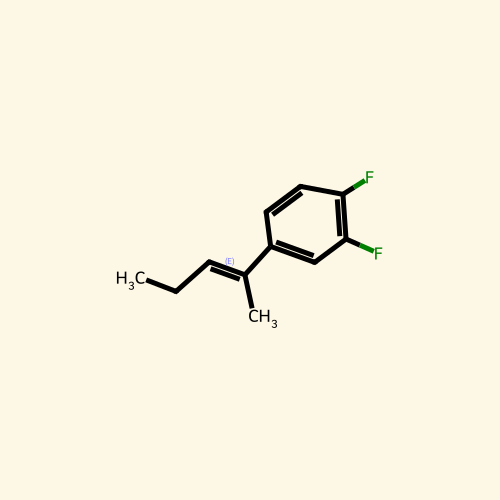 CC/C=C(\C)c1ccc(F)c(F)c1